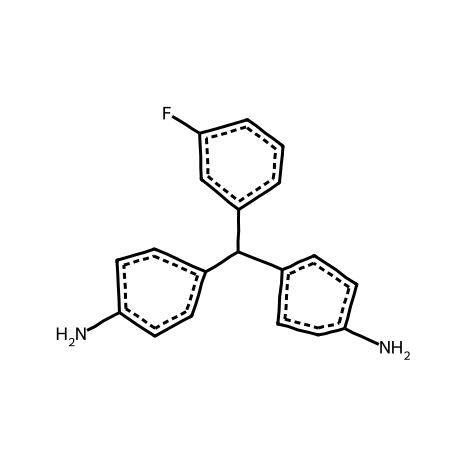 Nc1ccc(C(c2ccc(N)cc2)c2cccc(F)c2)cc1